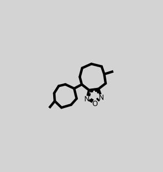 CC1CCCC(C2CCCCC(C)Cc3nonc32)CCC1